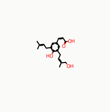 CC(C)=CCc1cc(/C=C\C(=O)O)cc(CC=C(C)CO)c1O